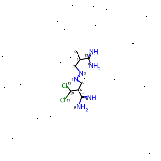 CC(CN=NCC(C(=N)N)C(Cl)Cl)C(=N)N